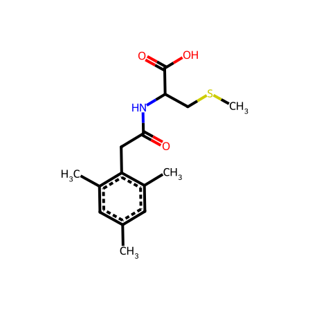 CSCC(NC(=O)Cc1c(C)cc(C)cc1C)C(=O)O